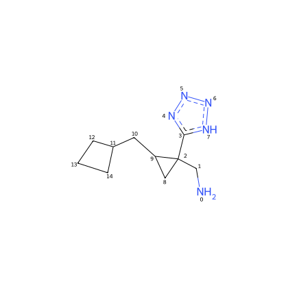 NCC1(c2nnn[nH]2)CC1CC1CCC1